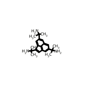 CC(C)(N)C1=Cc2cc(C(C)(C)N)cc3cc(C(C)(C)N)cc1c23